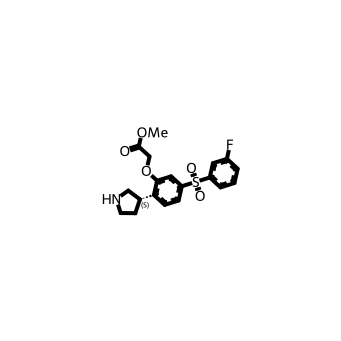 COC(=O)COc1cc(S(=O)(=O)c2cccc(F)c2)ccc1[C@@H]1CCNC1